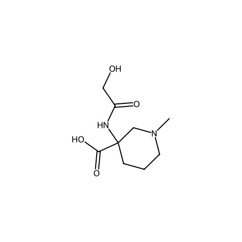 CN1CCCC(NC(=O)CO)(C(=O)O)C1